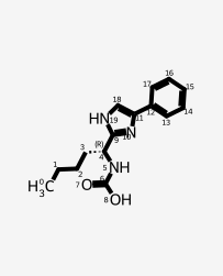 CCCC[C@@H](NC(=O)O)c1nc(-c2ccccc2)c[nH]1